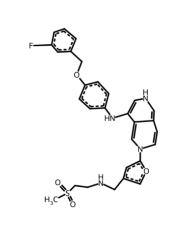 CS(=O)(=O)CCNCc1coc(N2C=CC3=CNC=C(Nc4ccc(OCc5cccc(F)c5)cc4)C3=C2)c1